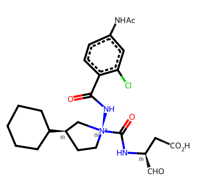 CC(=O)Nc1ccc(C(=O)N[N@@+]2(C(=O)N[C@H](C=O)CC(=O)O)CC[C@@H](C3CCCCC3)C2)c(Cl)c1